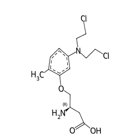 Cc1ccc(N(CCCl)CCCl)cc1OC[C@H](N)CC(=O)O